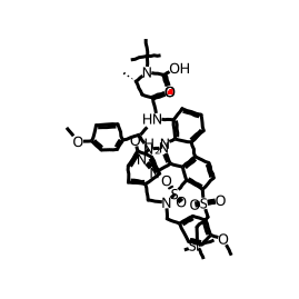 COc1ccc(CN(Cc2ccc(OC)cc2)S(=O)(=O)c2c(S(=O)(=O)CC[Si](C)(C)C)ccc(-c3cccc(NC(=O)C[C@H](C)N(C(=O)O)C(C)(C)C)c3N)c2-c2nnn(Cc3ccc(OC)cc3)n2)cc1